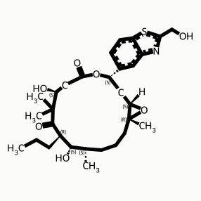 CCC[C@H]1C(=O)C(C)(C)[C@@H](O)CC(=O)O[C@H](c2ccc3sc(CO)nc3c2)C[C@@H]2O[C@]2(C)CCC[C@H](C)[C@@H]1O